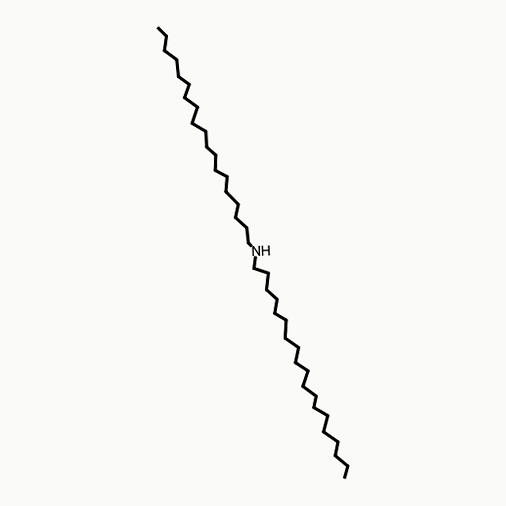 CCCCCCCCCCCCCCCCCCCNCCCCCCCCCCCCCCCCCCC